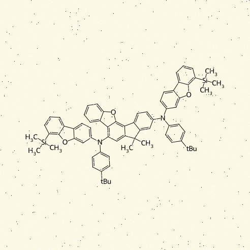 CC(C)(C)c1ccc(N(c2ccc3c(c2)C(C)(C)c2cc(N(c4ccc(C(C)(C)C)cc4)c4ccc5c(c4)oc4c([Si](C)(C)C)cccc45)c4c(oc5ccccc54)c2-3)c2ccc3c(c2)oc2c([Si](C)(C)C)cccc23)cc1